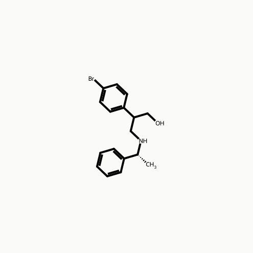 C[C@@H](NCC(CO)c1ccc(Br)cc1)c1ccccc1